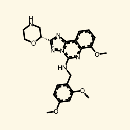 COc1ccc(CNc2nc3c(OC)cccc3c3nc([C@H]4CNCCO4)nn23)c(OC)c1